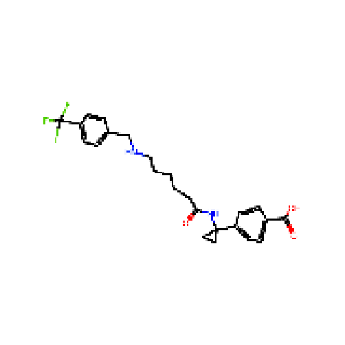 O=C(CCCCCNCc1ccc(C(F)(F)F)cc1)NC1(c2ccc(C(=O)O)cc2)CC1